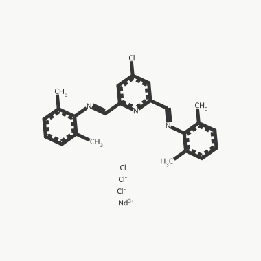 Cc1cccc(C)c1N=Cc1cc(Cl)cc(C=Nc2c(C)cccc2C)n1.[Cl-].[Cl-].[Cl-].[Nd+3]